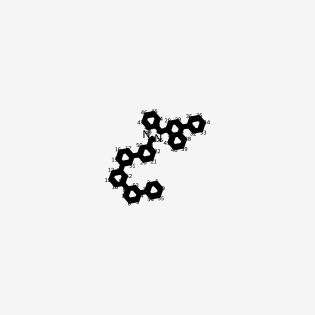 c1ccc(-c2cccc(-c3cccc(-c4cccc(-c5cccc(-c6nc(-c7ccc(-c8ccccc8)c8ccccc78)c7ccccc7n6)c5)c4)c3)c2)cc1